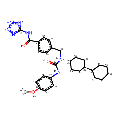 O=C(Nc1nn[nH]n1)c1ccc(CN(C(=O)Nc2ccc(OC(F)(F)F)cc2)[C@H]2CC[C@H](C3CCCCC3)CC2)cc1